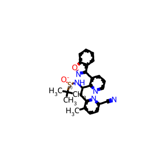 Cc1ccc(C#N)nc1CC(N[S@@+]([O-])C(C)(C)C)c1ncccc1-c1noc2ccccc12